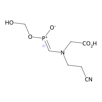 N#CCCN(/C=[P+](\[O-])OCO)CC(=O)O